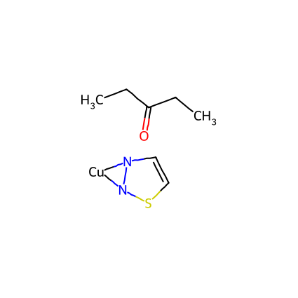 C1=C[N]2[Cu][N]2S1.CCC(=O)CC